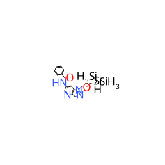 O=C(Nc1cnc2cnn(COCC[SiH]([SiH3])[SiH3])c2c1)c1ccccc1